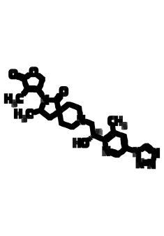 CC1=C(N2C(=O)C3(CCN(C[C@@H](O)c4ncc(-n5cnnn5)cc4C)CC3)CC2C)COC1=O